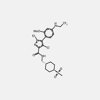 CCn1nc(C(=O)NC[C@H]2CC[C@H](S(C)(=O)=O)CC2)c(Cl)c1-c1ccc(NCC(F)(F)F)cc1OC